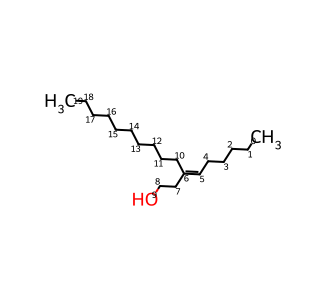 CCCCC/C=C(/CCO)CCCCCCCCCC